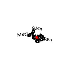 COc1ccc2c(c1)c1cc(OC)ccc1n2-c1ccc(C2(c3ccc4ccc5cc(C(C)(C)C)cc6ccc3c4c56)CCCCC2)cc1